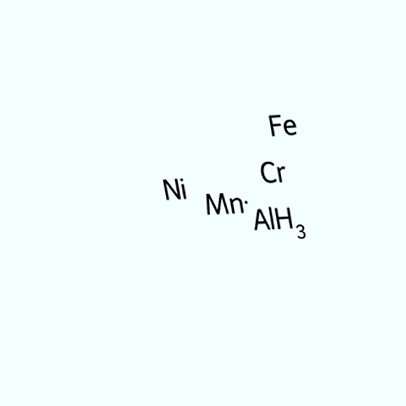 [AlH3].[Cr].[Fe].[Mn].[Ni]